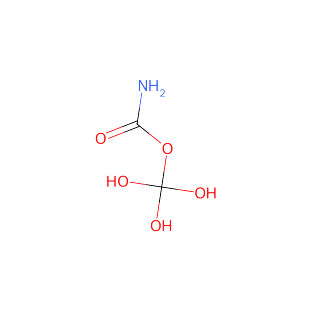 NC(=O)OC(O)(O)O